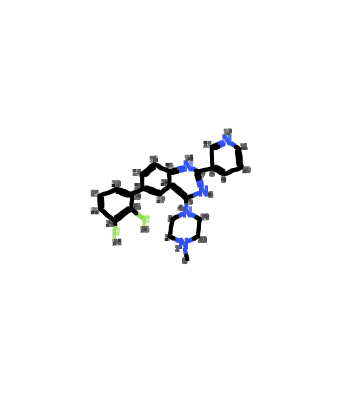 CN1CCN(c2nc(-c3cccnc3)nc3ccc(-c4cccc(F)c4F)cc23)CC1